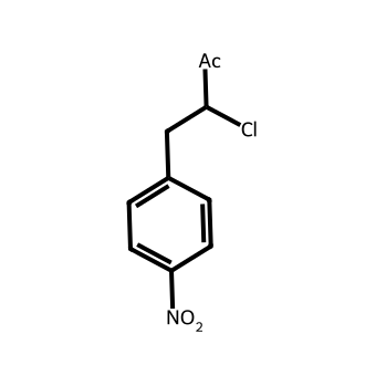 CC(=O)C(Cl)Cc1ccc([N+](=O)[O-])cc1